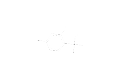 CCCC(C)(CC)c1ccc(Cl)cc1Cl